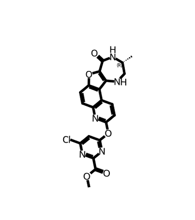 COC(=O)c1nc(Cl)cc(Oc2ccc3c(ccc4oc5c(c43)NC[C@@H](C)NC5=O)n2)n1